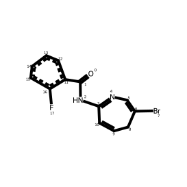 O=C(NC1=NC=C(Br)CC=C1)c1ccccc1F